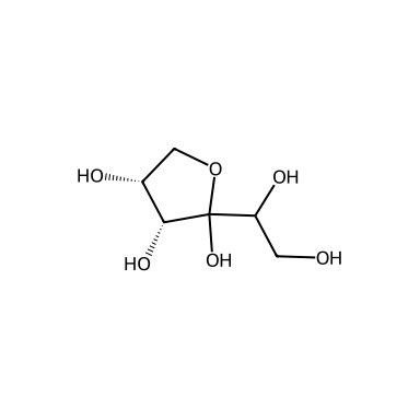 OCC(O)C1(O)OC[C@@H](O)[C@H]1O